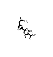 C[C@@H](N)Cc1c[nH]c(C(=O)O[C@H](C)[C@H](N)C(=O)O)n1